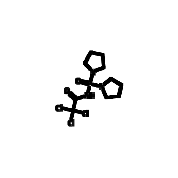 O=C(NP(=O)(N1CCCC1)N1CCCC1)C(Cl)(Cl)Cl